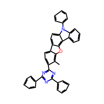 Cc1c(-c2nc(-c3ccccc3)nc(-c3ccccc3)n2)ccc2c1oc1c2ccc2c1c1ccccc1n2-c1ccccc1